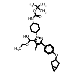 CCOC(O)c1c(I)c(-c2ccc(OC3CC4CC4C3)cc2)nn1[C@H]1CC[C@@H](NC(=O)OC(C)(C)C)CC1